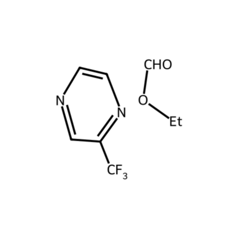 CCOC=O.FC(F)(F)c1cnccn1